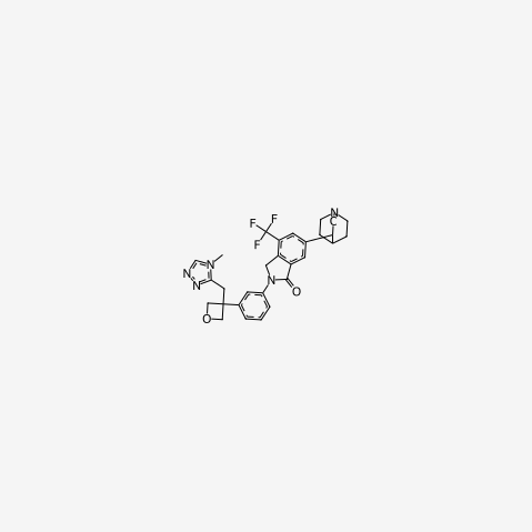 Cn1cnnc1CC1(c2cccc(N3Cc4c(cc(C5CN6CCC5CC6)cc4C(F)(F)F)C3=O)c2)COC1